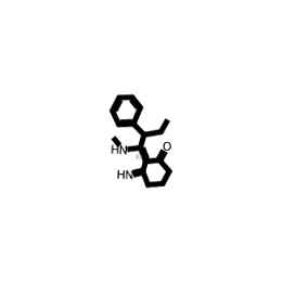 CCC(/C(NC)=C1/C(=N)CCCC1=O)c1ccccc1